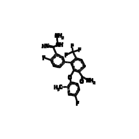 Cc1cc(F)ccc1Oc1c(C(N)=O)ccc(C(F)(F)F)c1-c1ccc(F)c(C(=N)NN)c1